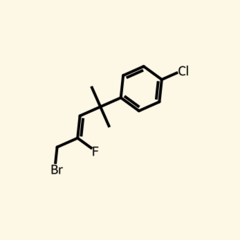 CC(C)(C=C(F)CBr)c1ccc(Cl)cc1